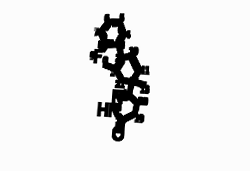 CC1=C(c2ccccc2F)C=CC(C)(C2=NNC(=O)CC2)C1